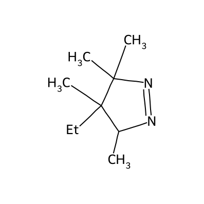 CCC1(C)C(C)N=NC1(C)C